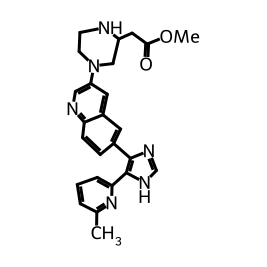 COC(=O)CC1CN(c2cnc3ccc(-c4nc[nH]c4-c4cccc(C)n4)cc3c2)CCN1